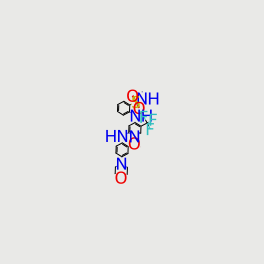 CNS(=O)(=O)c1ccccc1Nc1cc(Nc2ccc(N3CCOCC3)cc2OC)ncc1C(F)(F)F